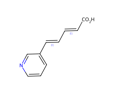 O=C(O)/C=C/C=C/c1cccnc1